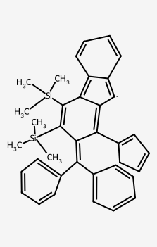 C[Si](C)(C)c1c([Si](C)(C)C)c2c(c(C3=CC=CC3)c1=C(c1ccccc1)c1ccccc1)[C]=c1ccccc1=2